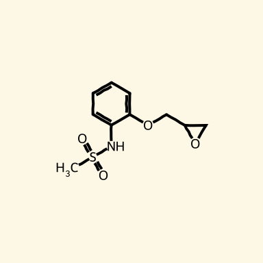 CS(=O)(=O)Nc1ccccc1OCC1CO1